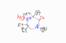 CCCC1(CCC)C(=O)N(C(C)(C)C)CC(CC)(CC)N1O